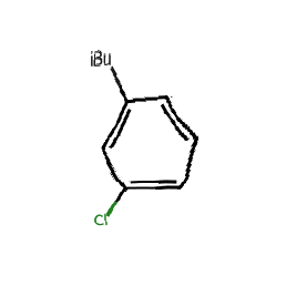 CCC(C)c1[c]ccc(Cl)c1